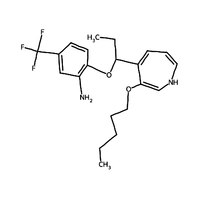 CCCCCOC1=CNC=CC=C1C(CC)Oc1ccc(C(F)(F)F)cc1N